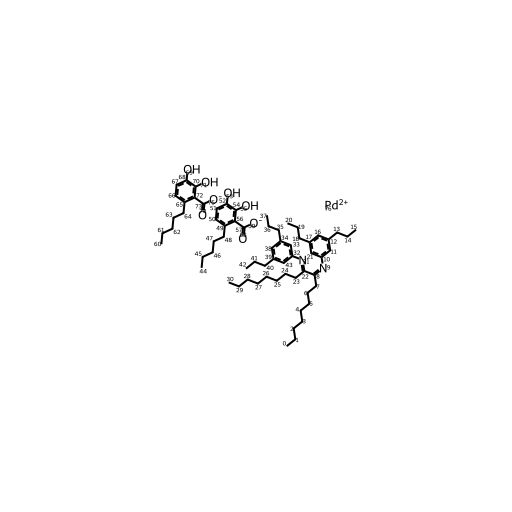 CCCCCCCCC(=Nc1cc(CCC)cc(CCC)c1)C(CCCCCCCC)=Nc1cc(CCC)cc(CCC)c1.CCCCCc1ccc(O)c(O)c1C(=O)[O-].CCCCCc1ccc(O)c(O)c1C(=O)[O-].[Pd+2]